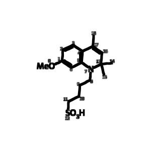 COc1ccc2c(c1)N(CCCCS(=O)(=O)O)C(C)(C)C=C2C